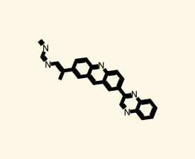 C=N/C=N\C=C(/C)c1ccc2nc3ccc(-c4cnc5ccccc5n4)cc3cc2c1